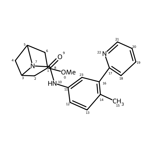 COC1CC2CC(C1)N2C(=O)Nc1ccc(C)c(-c2ccccn2)c1